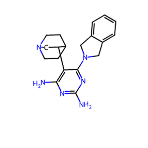 Nc1nc(N)c(C2CN3CCC2CC3)c(N2Cc3ccccc3C2)n1